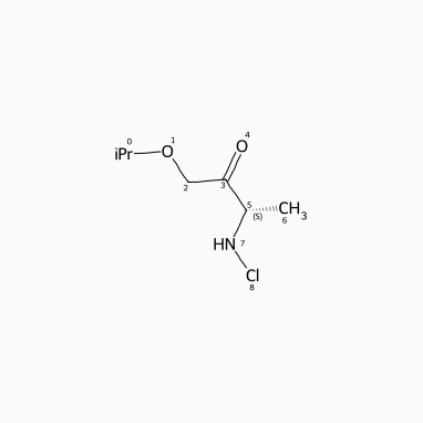 CC(C)OCC(=O)[C@H](C)NCl